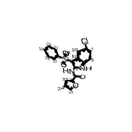 O=C(Nc1[nH]c2ccc(Cl)cc2c1S(=O)(=O)c1ccccc1)c1ccco1